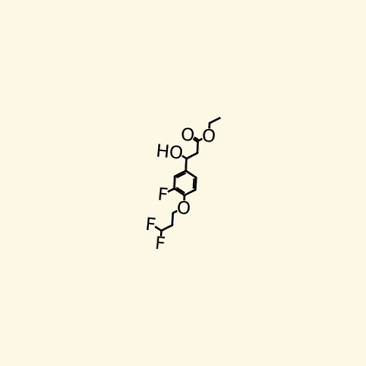 CCOC(=O)CC(O)c1ccc(OCCC(F)F)c(F)c1